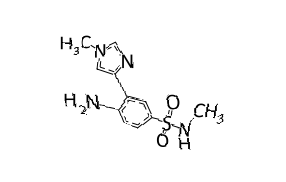 CNS(=O)(=O)c1ccc(N)c(-c2cn(C)cn2)c1